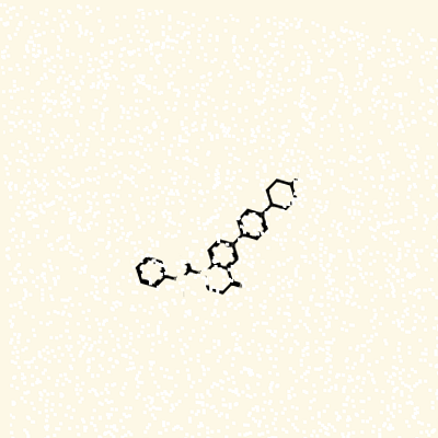 CCC1CCC(c2ccc(-c3ccc4c(c3)C(=O)CCN4C(=O)Nc3ccccc3)cc2)CC1